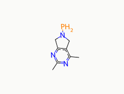 Cc1nc(C)c2c(n1)CN(P)C2